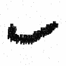 O=S(=O)(OC(F)C(F)(F)C(F)(F)C(F)(F)C(F)(F)C(F)(F)OC(F)(F)C(F)(F)OC(F)(F)C(F)(F)OC(F)(F)C(F)(F)OC(F)(F)F)C(F)(F)C(F)(F)C(F)(F)C(F)(F)F